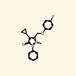 Cn1c(COc2ccc(F)cc2)c(C2CC2)c(=O)n1-c1ccccc1